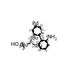 CC(C)(C)P(C(C)(C)C)C(C)(C)C.CS(=O)(=O)O.Nc1ccccc1-c1[c-]cccc1.[Pd]